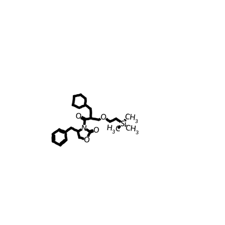 C[Si](C)(C)CCOCC(CC1CCCCC1)C(=O)N1C(=O)OCC1Cc1ccccc1